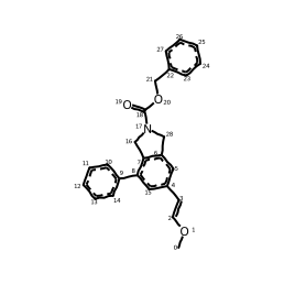 COC=Cc1cc2c(c(-c3ccccc3)c1)CN(C(=O)OCc1ccccc1)C2